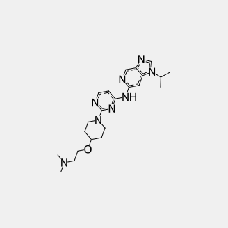 CC(C)n1cnc2cnc(Nc3ccnc(N4CCC(OCCN(C)C)CC4)n3)cc21